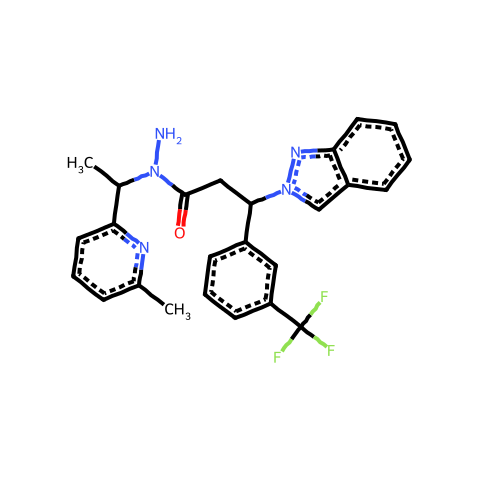 Cc1cccc(C(C)N(N)C(=O)CC(c2cccc(C(F)(F)F)c2)n2cc3ccccc3n2)n1